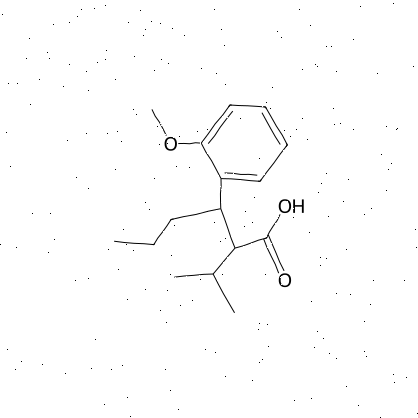 CCCC(c1ccccc1OC)C(C(=O)O)C(C)C